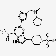 CC(C)S(=O)(=O)N1CCC(c2c[nH]c3c(C(N)=O)cc(-c4csc(CN(C)C5CCCC5)c4)cc23)CC1